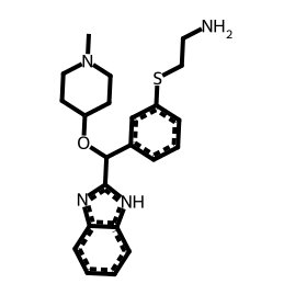 CN1CCC(OC(c2cccc(SCCN)c2)c2nc3ccccc3[nH]2)CC1